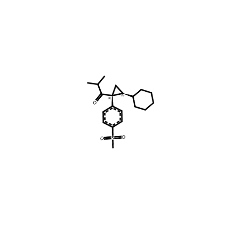 CC(C)C(=O)[C@]1(c2ccc(S(C)(=O)=O)cc2)C[C@H]1C1CCCCC1